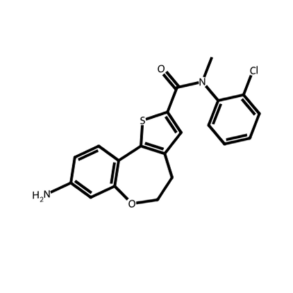 CN(C(=O)c1cc2c(s1)-c1ccc(N)cc1OCC2)c1ccccc1Cl